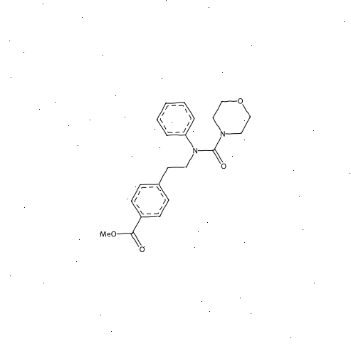 COC(=O)c1ccc(CCN(C(=O)N2CCOCC2)c2ccccc2)cc1